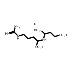 N=C(N)NCCCC(NC(CCC(=O)O)C(=O)O)C(=O)O.[Li]